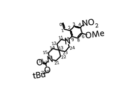 C=Cc1cc([N+](=O)[O-])c(OC)cc1N1CCC2(CCN(C(=O)OC(C)(C)C)CC2)CC1